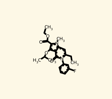 CCOC(=O)c1c(OC(C)C)c2c(=O)n(-c3cccc(F)c3)c(CC)cc2n1C